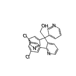 OCC(c1cccnc1)(c1cccnc1)c1cccnc1-c1cc(Cl)cc(Cl)c1